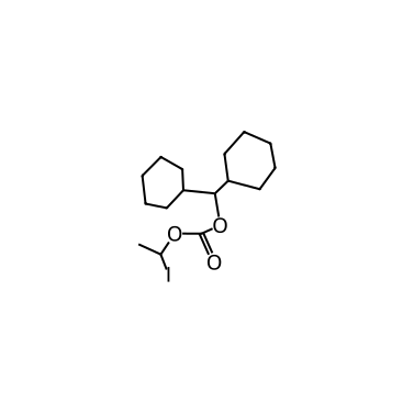 CC(I)OC(=O)OC(C1CCCCC1)C1CCCCC1